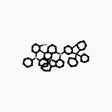 Oc1cccc(N(c2ccccc2)c2ccccc2)c1-c1cccc2c(N(c3ccc4c(c3)C(c3ccccc3)(c3ccccc3)c3ccccc3-4)c3cccc4c3oc3ccccc34)cccc12